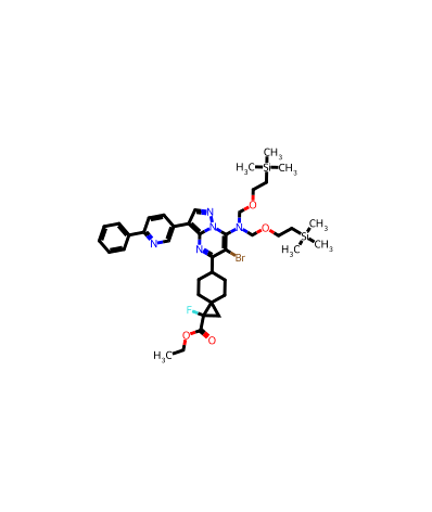 CCOC(=O)C1(F)CC12CCC(c1nc3c(-c4ccc(-c5ccccc5)nc4)cnn3c(N(COCC[Si](C)(C)C)COCC[Si](C)(C)C)c1Br)CC2